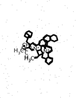 C=CC1C2C(c3ccccc3-c3cc(CC4CC5CCC4CC5)c([Si](C)(C)C)c[n+]32)C12Cc1ccccc1-c1ccc(-c3cccc4c3CCCC4)c[n+]12